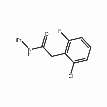 CC(C)NC(=O)Cc1c(F)cccc1Cl